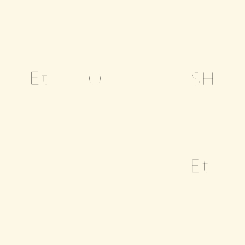 [CH2]COCC(S)CC